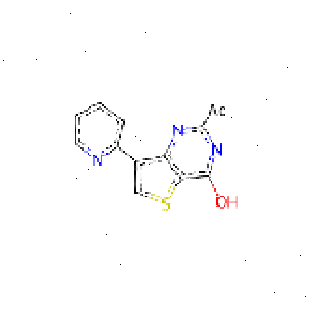 CC(=O)c1nc(O)c2scc(-c3ccccn3)c2n1